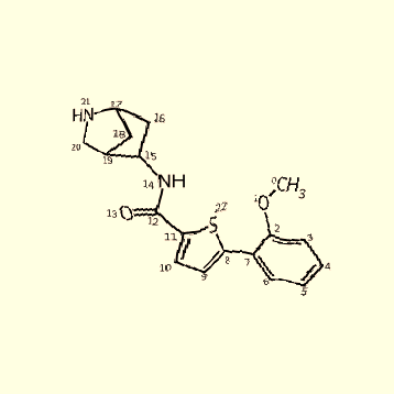 COc1ccccc1-c1ccc(C(=O)NC2CC3CC2CN3)s1